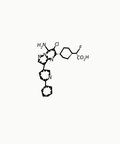 Nc1c(Cl)c([C@H]2CC[C@H]([C@H](F)C(=O)O)CC2)nc2c(-c3ccc(-c4ccccc4)nc3)cnn12